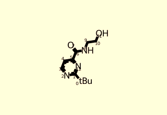 CC(C)(C)c1nccc(C(=O)NCCO)n1